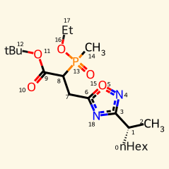 CCCCCC[C@@H](C)c1noc(CC(C(=O)OC(C)(C)C)P(C)(=O)OCC)n1